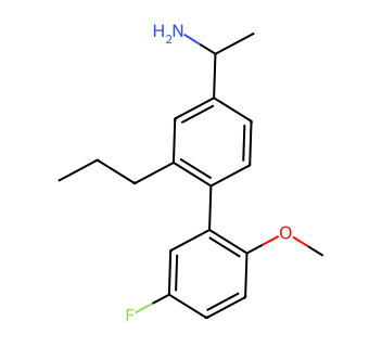 CCCc1cc(C(C)N)ccc1-c1cc(F)ccc1OC